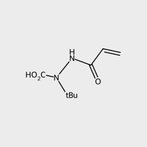 C=CC(=O)NN(C(=O)O)C(C)(C)C